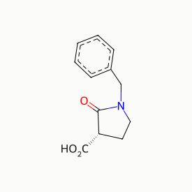 O=C(O)[C@H]1CCN(Cc2ccccc2)C1=O